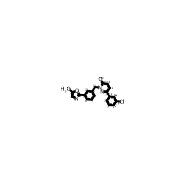 Cc1cnc(-c2cccc(Cn3nc(-c4cccc(Cl)c4)ccc3=O)c2)o1